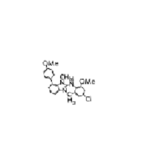 COc1ccc(-c2cccc3nc(Nc4c(C)cc(Cl)cc4OC)n(C)c23)cc1